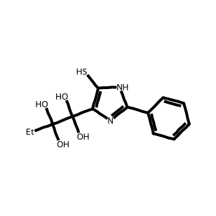 CCC(O)(O)C(O)(O)c1nc(-c2ccccc2)[nH]c1S